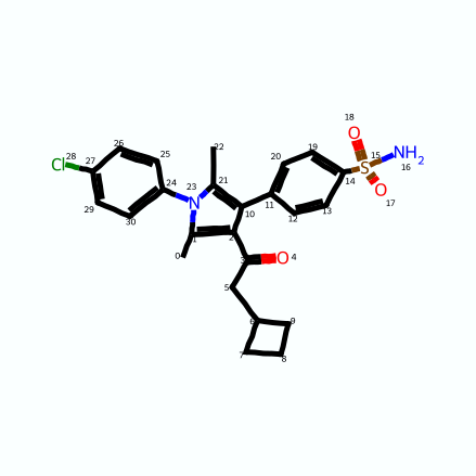 Cc1c(C(=O)CC2CCC2)c(-c2ccc(S(N)(=O)=O)cc2)c(C)n1-c1ccc(Cl)cc1